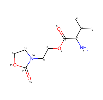 CC(C)C(N)C(=O)OCCN1CCOC1=O